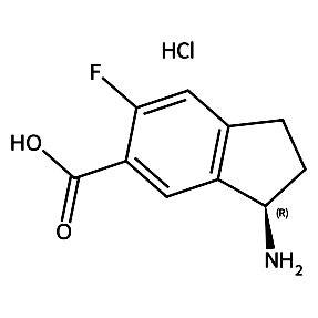 Cl.N[C@@H]1CCc2cc(F)c(C(=O)O)cc21